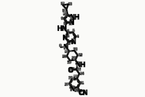 CN(c1nccc(Nc2cc(C3CC3)[nH]n2)n1)C1CCC(NC(=O)Cc2ccnc(C#N)c2)CC1